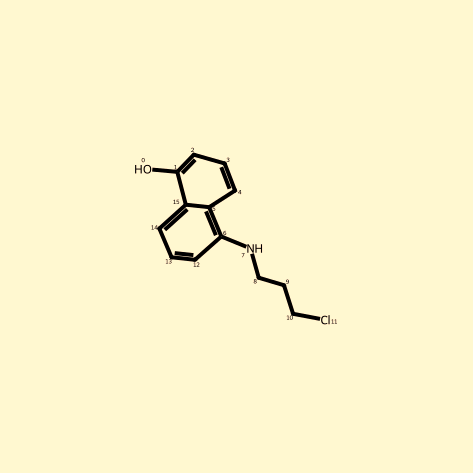 Oc1cccc2c(NCCCCl)cccc12